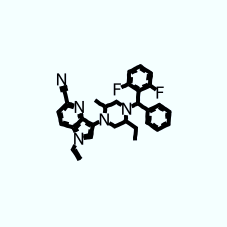 C=Cn1cc(N2CC(CC)N(C(c3ccccc3)c3c(F)cccc3F)CC2C)c2nc(C#N)ccc21